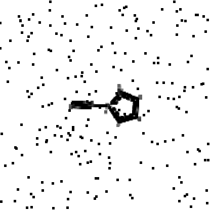 [C]#Cn1cccn1